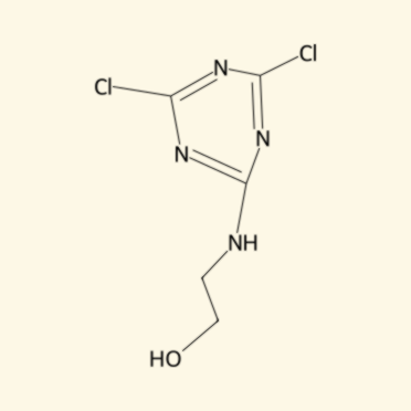 OCCNc1nc(Cl)nc(Cl)n1